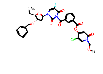 CCOCn1cc(Cl)c(OC(=O)c2cccc(C(=O)n3c(=O)c(F)cn([C@H]4C[C@H](OCc5ccccc5)[C@@H](COC(C)=O)O4)c3=O)c2)cc1=O